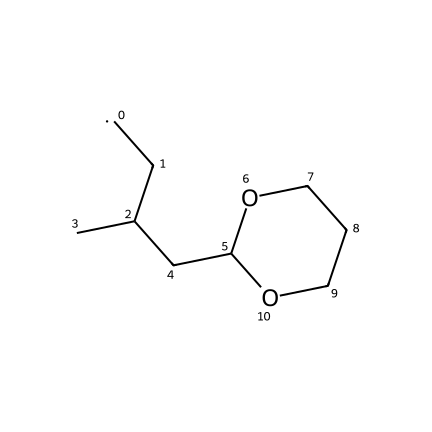 [CH2]CC(C)CC1OCCCO1